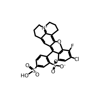 O=S(=O)([O-])c1cc(S(=O)(=O)O)ccc1C1=c2cc3c4c(c2Oc2c1ccc(Cl)c2F)CCC[N+]=4CCC3